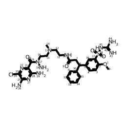 COc1ccc(C(CC(=O)NCCN(C)CCN(N)C(=O)c2nc(Cl)c(N)nc2N)c2ccccc2)cc1S(=O)(=O)NC(=N)N